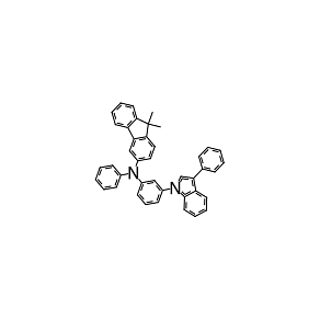 CC1(C)c2ccccc2-c2cc(N(c3ccccc3)c3cccc(-n4cc(-c5ccccc5)c5ccccc54)c3)ccc21